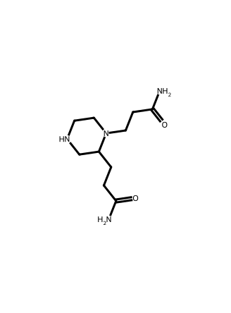 NC(=O)CCC1CNCCN1CCC(N)=O